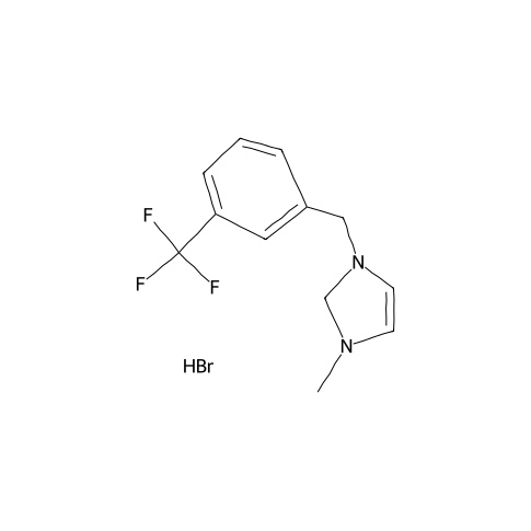 Br.CN1C=CN(Cc2cccc(C(F)(F)F)c2)C1